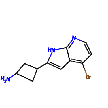 NC1CC(c2cc3c(Br)ccnc3[nH]2)C1